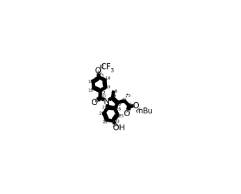 CCCCOC(=O)[C@@H](C)c1c(C)n(C(=O)c2ccc(OC(F)(F)F)cc2)c2ccc(O)cc12